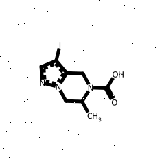 CC1Cn2ncc(I)c2CN1C(=O)O